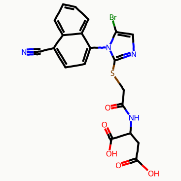 N#Cc1ccc(-n2c(Br)cnc2SCC(=O)NC(CC(=O)O)C(=O)O)c2ccccc12